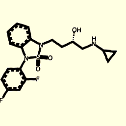 O=S1(=O)N(CC[C@H](O)CNC2CC2)c2ccccc2N1c1ccc(F)cc1F